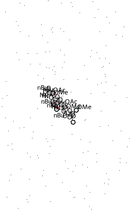 CCCCOC1[C@@H](OC(C)(C)[C@@H]2OC(COC(C)=O)[C@@H](O[C@@H]3OC(C(=O)OC)[C@H](O[C@H]4OC(COC(C)=O)[C@@H](OCCCC)[C@H](OCCCC)C4N=[N+]=[N-])C(OCCCC)[C@@H]3OC(=O)c3ccccc3)[C@H](OCCCC)C2N=[N+]=[N-])C(C(=O)OC)O[C@@H](Oc2ccc(OC)cc2)[C@H]1OC(=O)c1ccccc1